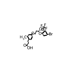 Cc1cc(OCCC(C)Oc2ccc(Br)cc2OC(F)(F)F)ccc1CCC(=O)O